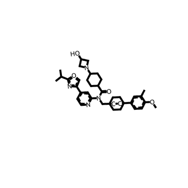 COc1ccc(C23CCC(CN(C(=O)C4CCC(N5CC(O)C5)CC4)c4cc(-c5coc(C(C)C)n5)ccn4)(CC2)CC3)cc1C